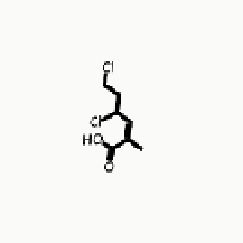 CC(=CC(Cl)CCCl)C(=O)O